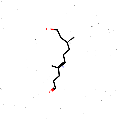 C/C(=C\CC[C@H](C)CCO)CCC=O